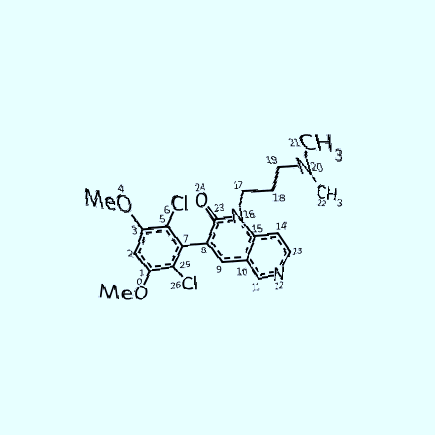 COc1cc(OC)c(Cl)c(-c2cc3cn[c]cc3n(CCCN(C)C)c2=O)c1Cl